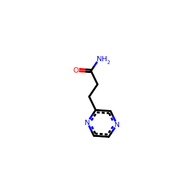 NC(=O)CCc1cnccn1